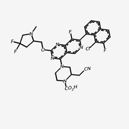 CN1CC(F)(F)CC1COc1nc(N2CCN(C(=O)O)C(CC#N)C2)c2cnc(-c3cccc4ccc(F)c(Cl)c34)c(F)c2n1